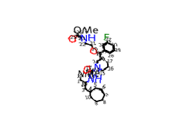 CNC[C@H](CC1CCCCCC1)NC(=O)N1CCC[C@@H]([C@@H](OCCNC(=O)OC)c2cccc(F)c2)C1